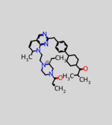 C=CC(=O)N1CCN(CCN2c3nc(Cc4ccc(C5CCC(C(=O)C(C)C)CC5)cc4)ncc3C=CC2C)[C@@H](CC)C1